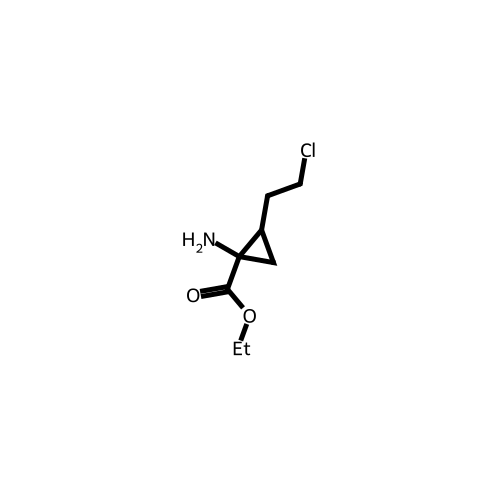 CCOC(=O)C1(N)CC1CCCl